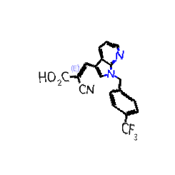 N#C/C(=C\c1cn(Cc2ccc(C(F)(F)F)cc2)c2ncccc12)C(=O)O